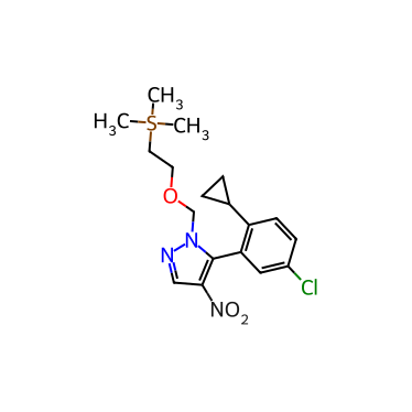 CS(C)(C)CCOCn1ncc([N+](=O)[O-])c1-c1cc(Cl)ccc1C1CC1